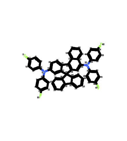 Fc1ccc(N(c2ccc(F)cc2)c2ccc3c(c2)C2(c4ccccc4-c4ccccc42)c2cc(N(c4ccc(F)cc4)c4ccc(F)cc4)c4ccccc4c2-3)cc1